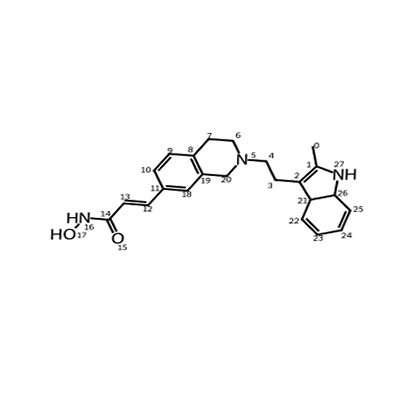 CC1=C(CCN2CCc3ccc(/C=C/C(=O)NO)cc3C2)C2C=CC=CC2N1